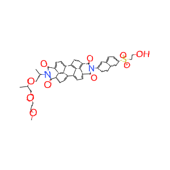 COCCOCC(C)OCC(C)N1C(=O)c2ccc3c4ccc5c6c(ccc(c7ccc(c2c37)C1=O)c64)C(=O)N(c1ccc2cc(S(=O)(=O)CCO)ccc2c1)C5=O